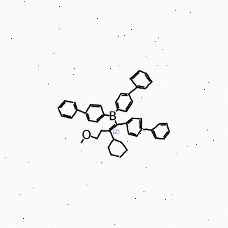 COCC/C(=C(\B(c1ccc(-c2ccccc2)cc1)c1ccc(-c2ccccc2)cc1)c1ccc(-c2ccccc2)cc1)C1CCCCC1